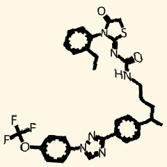 CCc1ccccc1N1C(=O)CS/C1=N\C(=O)NCCCC(C)c1ccc(-c2ncn(-c3ccc(OC(F)(F)F)cc3)n2)cc1